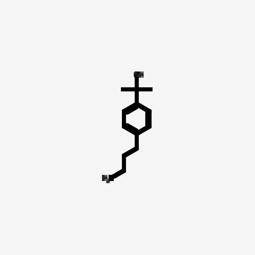 CC(C)(O)c1ccc(CCCN)cc1